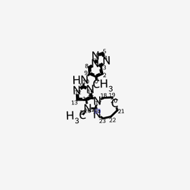 Cc1cc2ncnn2cc1Nc1ncc2c(n1)N1CCCCCC/N=C\1N2C